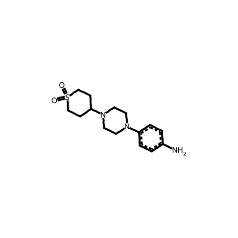 Nc1ccc(N2CCN(C3CCS(=O)(=O)CC3)CC2)cc1